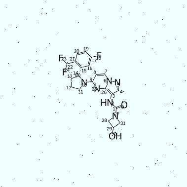 O=C(Nc1cnn2ccc(N3CCC[C@@H]3c3cc(F)ccc3C(F)F)nc12)N1CC(O)C1